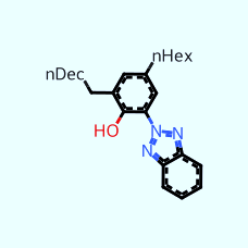 CCCCCCCCCCCc1cc(CCCCCC)cc(-n2nc3ccccc3n2)c1O